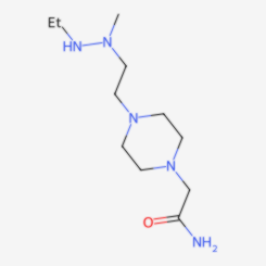 CCNN(C)CCN1CCN(CC(N)=O)CC1